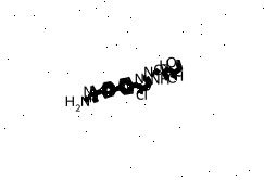 Cn1c(-c2ccc(-c3ccc(-c4nc5nc(O[C@@H]6CO[C@@H]7CCO[C@@H]76)[nH]c5cc4Cl)cc3)cc2)cnc1N